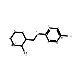 CCC1NCCCC1COc1ccc(F)cn1